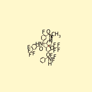 CNC(=O)c1cc(C(Cc2ccccc2)(NC(=O)c2ccc(F)c(C(F)(F)F)c2)c2cc(F)cc(OC(F)(F)C(F)F)c2)ccc1F.O=C(NC(F)(F)F)c1ccccc1